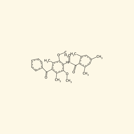 COc1c(C)c(C(=O)c2ccccc2)c(C)c(OC)c1[PH](=O)C(=O)c1c(C)cc(C)cc1C